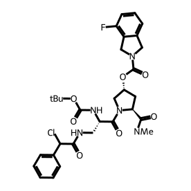 CNC(=O)[C@@H]1C[C@@H](OC(=O)N2Cc3cccc(F)c3C2)CN1C(=O)[C@H](CNC(=O)C(Cl)c1ccccc1)NC(=O)OC(C)(C)C